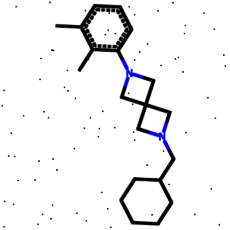 Cc1cccc(N2CC3(CN(CC4CCCCC4)C3)C2)c1C